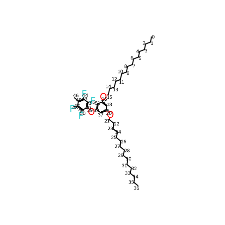 CCCCCCCCCCCCCCCCOc1cc(OCCCCCCCCCCCCCCCC)cc(Oc2c(F)c(F)c(C)c(F)c2F)c1